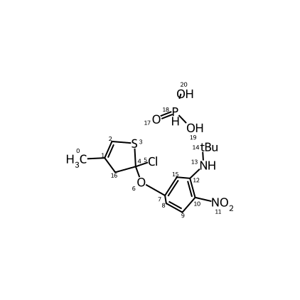 CC1=CSC(Cl)(Oc2ccc([N+](=O)[O-])c(NC(C)(C)C)c2)C1.O=[PH](O)O